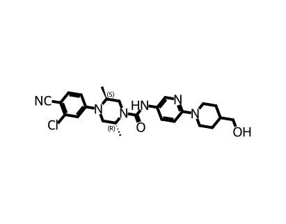 C[C@@H]1CN(c2ccc(C#N)c(Cl)c2)[C@@H](C)CN1C(=O)Nc1ccc(N2CCC(CO)CC2)nc1